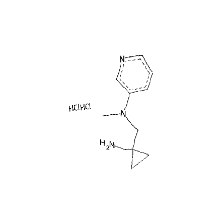 CN(CC1(N)CC1)c1cccnc1.Cl.Cl